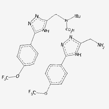 CC(C)(C)N(Cc1nnc(-c2ccc(OC(F)(F)F)cc2)[nH]1)C(=O)O.NCc1nnc(-c2ccc(OC(F)(F)F)cc2)[nH]1